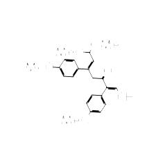 CC=C(C(=O)CC(=CC(OC)OC)c1ccc(OC)cc1)c1ccc(OC)cc1